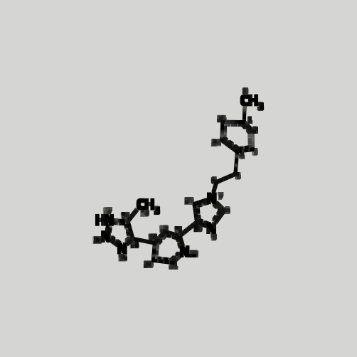 Cc1ccc(CCn2cnc(-c3cc(-c4nn[nH]c4C)ccn3)c2)cc1